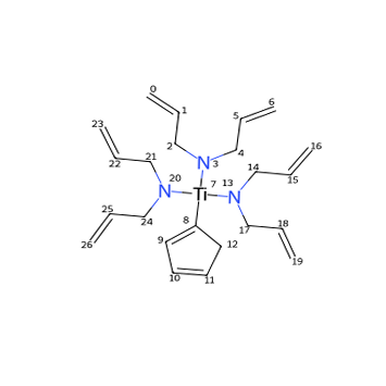 C=CC[N](CC=C)[Ti]([C]1=CC=CC1)([N](CC=C)CC=C)[N](CC=C)CC=C